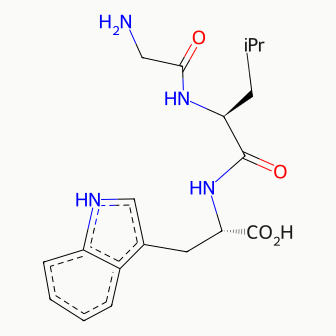 CC(C)C[C@H](NC(=O)CN)C(=O)N[C@@H](Cc1c[nH]c2ccccc12)C(=O)O